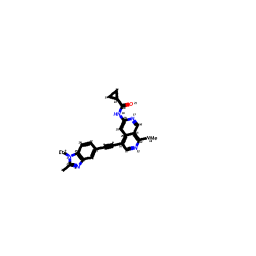 CCn1c(C)nc2cc(C#Cc3cnc(NC)c4cnc(NC(=O)C5CC5)cc34)ccc21